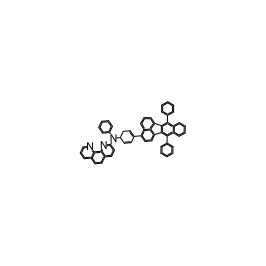 C1=CC(N(c2ccccc2)c2ccc3ccc4cccnc4c3n2)CC=C1c1ccc2c3c(cccc13)-c1c-2c(-c2ccccc2)c2ccccc2c1-c1ccccc1